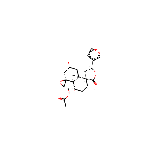 CC(=O)OC[C@@]12[C@H](O)C[C@@H](C)[C@]3(C[C@@H](c4ccoc4)OC3=O)[C@H]1C[C@H](O)C[C@]21CO1